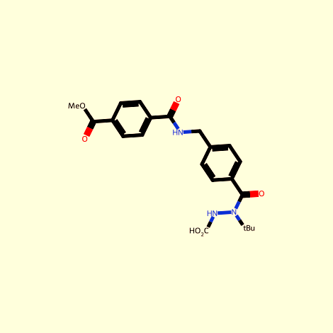 COC(=O)c1ccc(C(=O)NCc2ccc(C(=O)N(NC(=O)O)C(C)(C)C)cc2)cc1